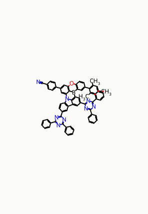 Cc1cc(C)c(-c2ccc3c(c2)B2c4c(cc(-c5ccc(C#N)cc5)cc4-n4c5ccc(-c6nc(-c7ccccc7)nc(-c7ccccc7)n6)cc5c5cc(-c6nc(-c7ccccc7)nc(-c7ccccc7)n6)cc2c54)O3)c(C)c1